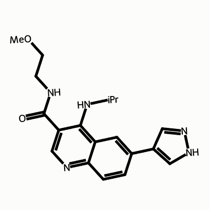 COCCNC(=O)c1cnc2ccc(-c3cn[nH]c3)cc2c1NC(C)C